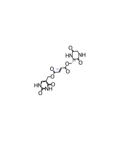 O=C1CNC(=O)[C@H](COC(=O)/C=C/C(=O)OCc2c[nH]c(=O)[nH]c2=O)N1